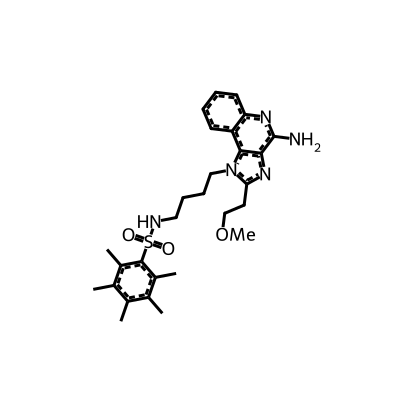 COCCc1nc2c(N)nc3ccccc3c2n1CCCCNS(=O)(=O)c1c(C)c(C)c(C)c(C)c1C